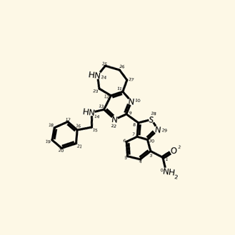 NC(=O)c1cccc2c(-c3nc4c(c(NCc5ccccc5)n3)CNCCC4)snc12